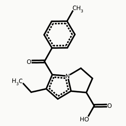 CCc1cc2n(c1C(=O)c1ccc(C)cc1)CCC2C(=O)O